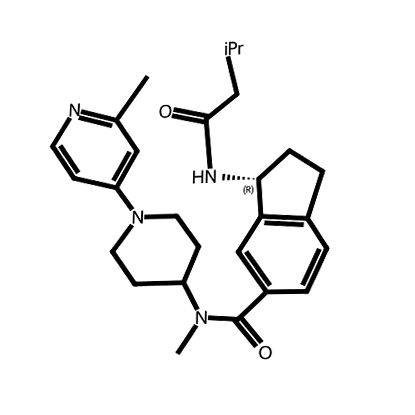 Cc1cc(N2CCC(N(C)C(=O)c3ccc4c(c3)[C@H](NC(=O)CC(C)C)CC4)CC2)ccn1